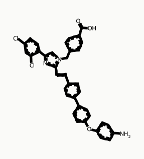 Nc1ccc(Oc2ccc(-c3ccc(/C=C/c4nc(-c5ccc(Cl)cc5Cl)cn4Cc4ccc(C(=O)O)cc4)cc3)cc2)cc1